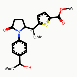 CCCCCC(O)c1ccc(N2C(=O)CCC2[C@H](OC)c2ccc(C(=O)OC(C)C)s2)cc1